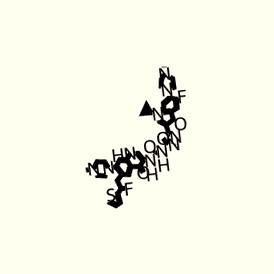 CN1CCN(c2cc3c(cc2F)c(=O)c(-c2nnc(NC(=O)Nc4c[nH]c5cc(N6CCN(C)CC6)c(CC(F)c6cccs6)cc5c4=O)o2)cn3C2CC2)CC1